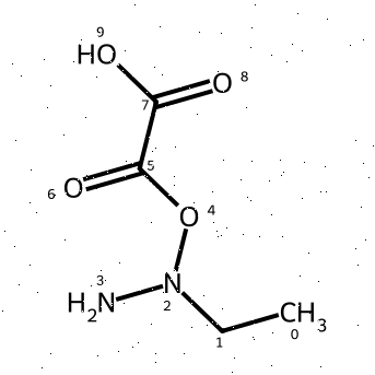 CCN(N)OC(=O)C(=O)O